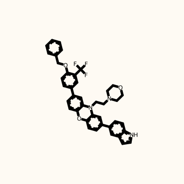 FC(F)(F)c1cc(-c2ccc3c(c2)N(CCN2CCOCC2)c2cc(-c4ccc5[nH]ccc5c4)ccc2O3)ccc1OCc1ccccc1